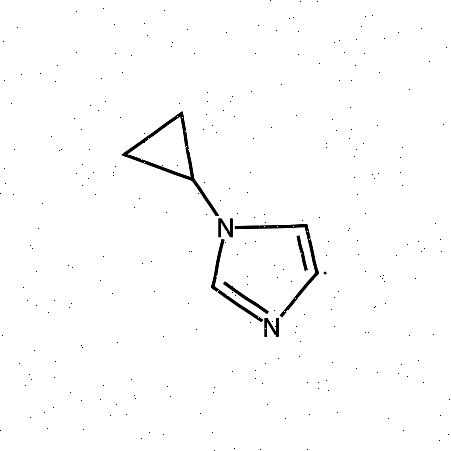 [c]1cn(C2CC2)cn1